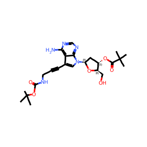 CC(C)(C)OC(=O)NCC#Cc1cn([C@H]2C[C@H](OC(=O)C(C)(C)C)[C@@H](CO)O2)c2ncnc(N)c12